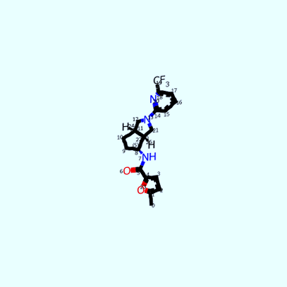 Cc1ccc(C(=O)N[C@H]2CC[C@@H]3CN(c4cccc(C(F)(F)F)n4)C[C@@H]32)o1